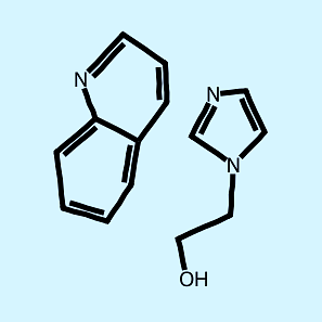 OCCn1ccnc1.c1ccc2ncccc2c1